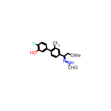 COC/C(=N\NC=O)c1ccc(-c2ccc(F)c(O)c2)c(C(F)(F)F)c1